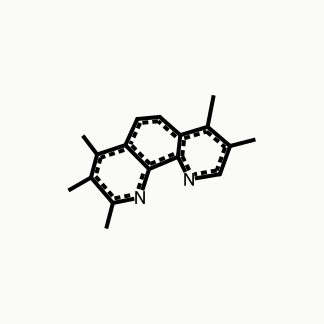 Cc1cnc2c(ccc3c(C)c(C)c(C)nc32)c1C